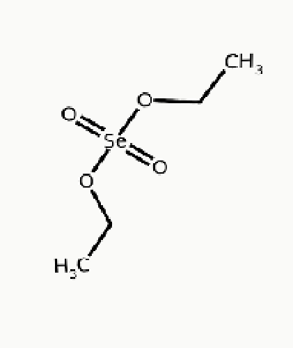 CCO[Se](=O)(=O)OCC